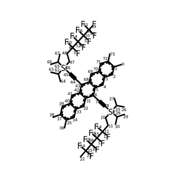 Cc1cc2cc3c(C#C[Si](CCC(F)(F)C(F)(F)C(F)(F)C(C)(F)F)(C(C)C)C(C)C)c4cc5cc(C)c(C)cc5cc4c(C#C[Si](CCC(F)(F)C(F)(F)C(F)(F)C(F)(F)F)(C(C)C)C(C)C)c3cc2cc1C